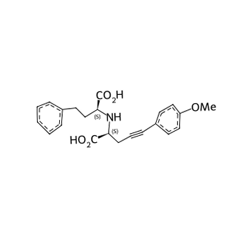 COc1ccc(C#CC[C@H](N[C@@H](CCc2ccccc2)C(=O)O)C(=O)O)cc1